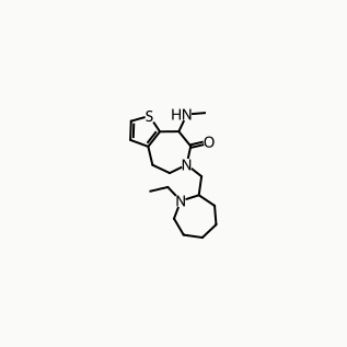 CCN1CCCCCC1CN1CCc2ccsc2C(NC)C1=O